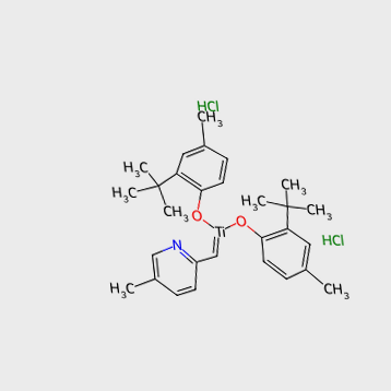 Cc1ccc([CH]=[Ti]([O]c2ccc(C)cc2C(C)(C)C)[O]c2ccc(C)cc2C(C)(C)C)nc1.Cl.Cl